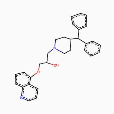 OC(COc1cccc2ncccc12)CN1CCC(C(c2ccccc2)c2ccccc2)CC1